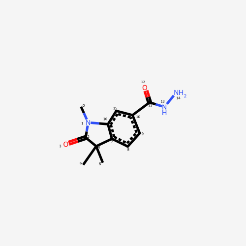 CN1C(=O)C(C)(C)c2ccc(C(=O)NN)cc21